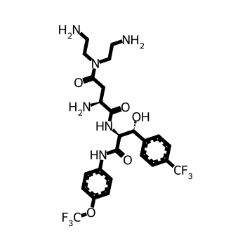 NCCN(CCN)C(=O)C[C@H](N)C(=O)N[C@H](C(=O)Nc1ccc(OC(F)(F)F)cc1)[C@H](O)c1ccc(C(F)(F)F)cc1